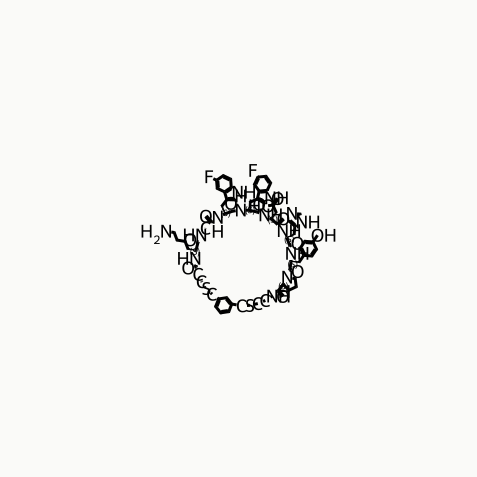 NCCCC[C@@H]1NC(=O)CCSCc2cccc(c2)CSCCNC(=O)[C@@H]2CCCN2C(=O)[C@H](Cc2ccc(O)cc2)NC(=O)[C@H](Cc2cnc[nH]2)NC(=O)[C@H](CC(=O)O)NC(=O)[C@H](Cc2c[nH]c3ccc(F)cc23)NC(=O)[C@H](Cc2c[nH]c3ccc(F)cc23)NC(=O)CNC1=O